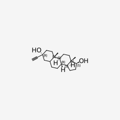 C#C[C@@]1(O)CC[C@@]2(C)C(CC[C@H]3[C@@H]4CC[C@H](O)[C@@]4(C)CC[C@@H]32)C1